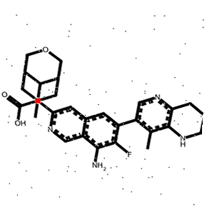 Cc1c(-c2cc3cc(N(C(=O)O)C4C5COCC4CN(C)C5)ncc3c(N)c2F)cnc2c1NCCC2